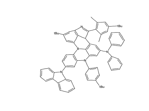 Cc1cc(C(C)(C)C)cc(C)c1C1=Nc2cc(C(C)(C)C)cc3c2C1c1cc(N(c2ccccc2)c2ccccc2)cc2c1B3c1ccc(-n3c4ccccc4c4ccccc43)cc1N2c1ccc(C(C)(C)C)cc1